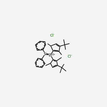 CC1=[C]([Zr+2]([C]2=C(C)C(C(C)(C)C)=CC2C)=[Si](c2ccccc2)c2ccccc2)C(C)C=C1C(C)(C)C.[Cl-].[Cl-]